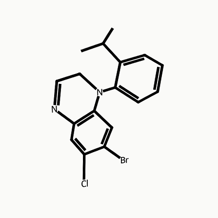 CC(C)c1ccccc1N1CC=Nc2cc(Cl)c(Br)cc21